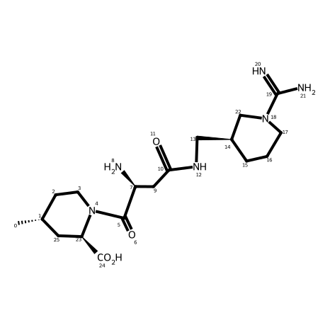 C[C@@H]1CCN(C(=O)[C@@H](N)CC(=O)NC[C@@H]2CCCN(C(=N)N)C2)[C@@H](C(=O)O)C1